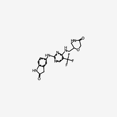 O=C1COC(CNc2nc(Nc3ccc4c(c3)CC(=O)N4)ncc2C(F)(F)F)CN1